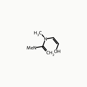 C=C(NC)N(C)/C=C\O